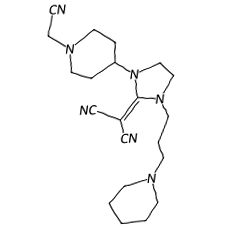 N#CCN1CCC(N2CCN(CCCN3CCCCC3)C2=C(C#N)C#N)CC1